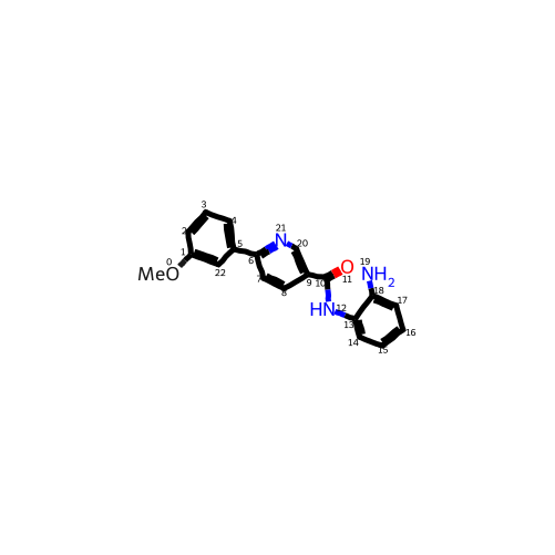 COc1cccc(-c2ccc(C(=O)Nc3ccccc3N)cn2)c1